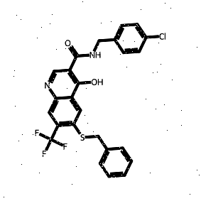 O=C(NCc1ccc(Cl)cc1)c1cnc2cc(C(F)(F)F)c(SCc3ccccc3)cc2c1O